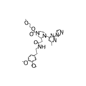 COCCOC(=O)N1CCN(c2cc(C)nc(-n3ccnc3)n2)C(CC(=O)NCCc2ccc(OC)c(OC)c2)C1